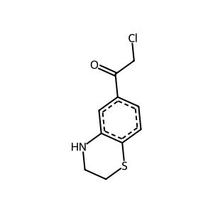 O=C(CCl)c1ccc2c(c1)NCCS2